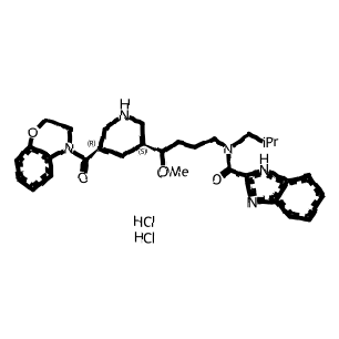 COC(CCCN(CC(C)C)C(=O)c1nc2ccccc2[nH]1)[C@@H]1CNC[C@H](C(=O)N2CCOc3ccccc32)C1.Cl.Cl